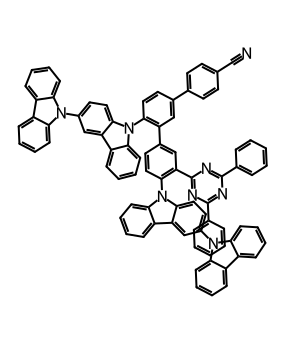 N#Cc1ccc(-c2ccc(-n3c4ccccc4c4cc(-n5c6ccccc6c6ccccc65)ccc43)c(-c3ccc(-n4c5ccccc5c5cc(-n6c7ccccc7c7ccccc76)ccc54)c(-c4nc(-c5ccccc5)nc(-c5ccccc5)n4)c3)c2)cc1